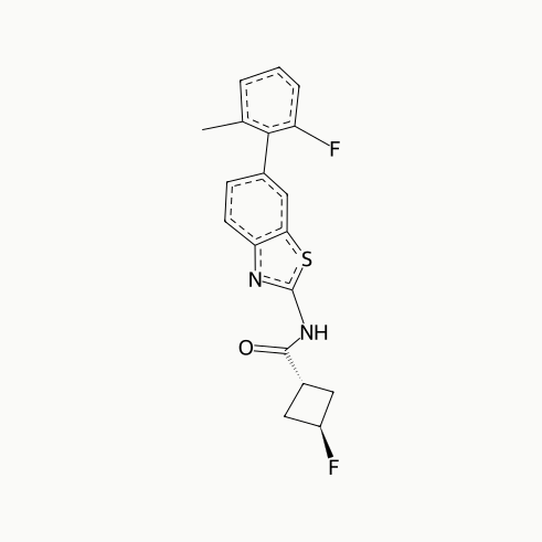 Cc1cccc(F)c1-c1ccc2nc(NC(=O)[C@H]3C[C@H](F)C3)sc2c1